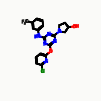 OC1CCN(c2nc(Nc3cccc(C(F)(F)F)c3)nc(Oc3cccc(Cl)n3)n2)C1